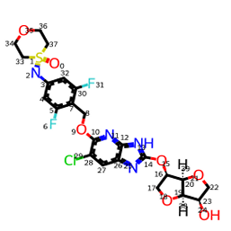 O=S1(=Nc2cc(F)c(COc3nc4[nH]c(O[C@@H]5CO[C@H]6[C@@H]5OC[C@H]6O)nc4cc3Cl)c(F)c2)CCOCC1